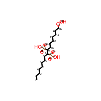 CCCCCCCCC(C(CCCCCCCOO)S(=O)(=O)O)S(=O)(=O)O